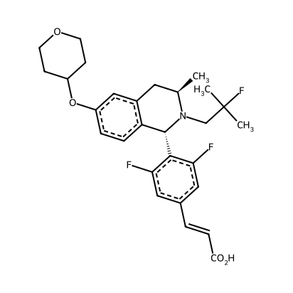 C[C@@H]1Cc2cc(OC3CCOCC3)ccc2[C@@H](c2c(F)cc(/C=C/C(=O)O)cc2F)N1CC(C)(C)F